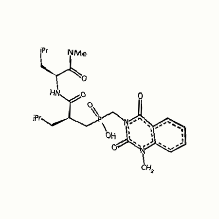 CNC(=O)[C@H](CC(C)C)NC(=O)[C@H](CC(C)C)CP(=O)(O)Cn1c(=O)c2ccccc2n(C)c1=O